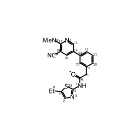 CCc1cnc(NC(=O)Cc2cccc(-c3cnc(NC)c(C#N)c3)c2)s1